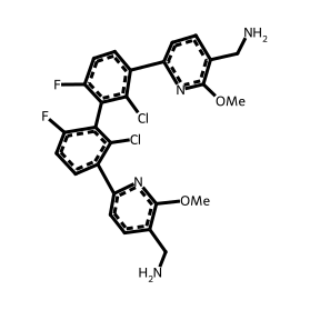 COc1nc(-c2ccc(F)c(-c3c(F)ccc(-c4ccc(CN)c(OC)n4)c3Cl)c2Cl)ccc1CN